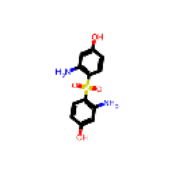 Nc1cc(O)ccc1S(=O)(=O)c1ccc(O)cc1N